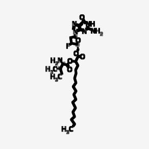 CCCCCCCCCCCCCCCCC(OC(=O)[C@@H](N)[C@@H](C)CC)C(=O)OC[C@H]1O[C@@H](n2cnc3c(=O)[nH]c(N)nc32)CC1F